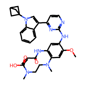 C=CC(=O)Nc1cc(Nc2nccc(-c3cn(C45CC(C4)C5)c4ccccc34)n2)c(OC)cc1N(C)CCN(C)C(=O)O